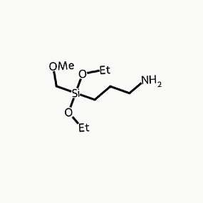 CCO[Si](CCCN)(COC)OCC